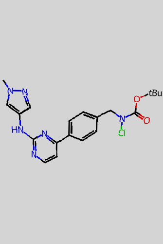 Cn1cc(Nc2nccc(-c3ccc(CN(Cl)C(=O)OC(C)(C)C)cc3)n2)cn1